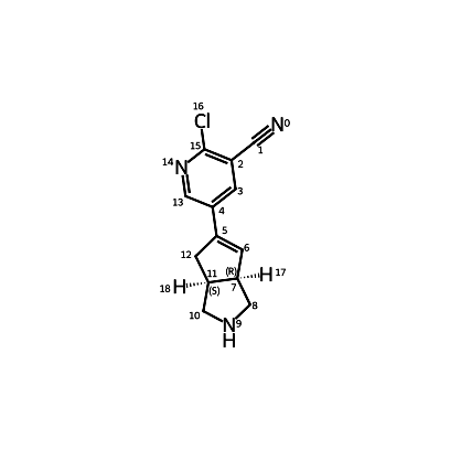 N#Cc1cc(C2=C[C@H]3CNC[C@H]3C2)cnc1Cl